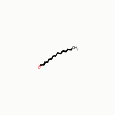 CCCC=CCCCCCCCC=CC=O